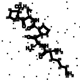 CC(C)[C@H](NC(=O)[C@@H]1CCCN1C(=O)[C@@H](C)NC(=O)[C@@H](N)CCCCN)C(=O)N1CCC[C@H]1C(=O)O